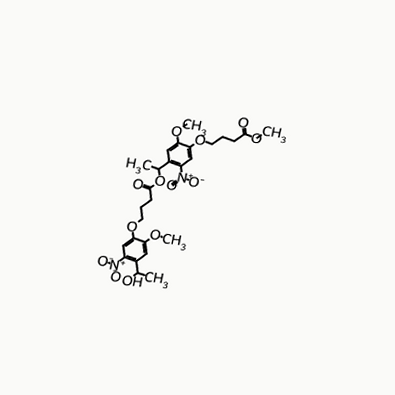 COC(=O)CCCOc1cc([N+](=O)[O-])c(C(C)OC(=O)CCCOc2cc([N+](=O)[O-])c(C(C)O)cc2OC)cc1OC